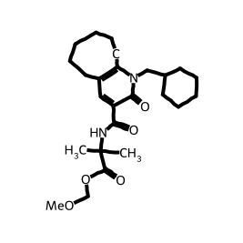 COCOC(=O)C(C)(C)NC(=O)c1cc2c(n(CC3CCCCC3)c1=O)CCCCCC2